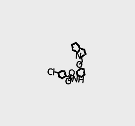 O=S(=O)(Nc1cccc(OCc2ccc3ccccc3n2)c1)c1ccc(Cl)cc1